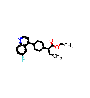 CCOC(=O)C(CC)C1CCC(c2ccnc3ccc(F)cc23)CC1